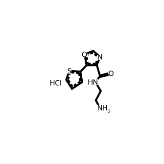 Cl.NCCNC(=O)c1ncoc1-c1cccs1